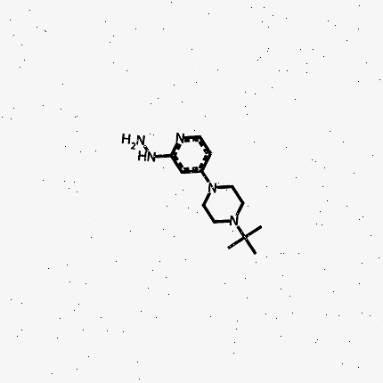 CC(C)(C)N1CCN(c2ccnc(NN)c2)CC1